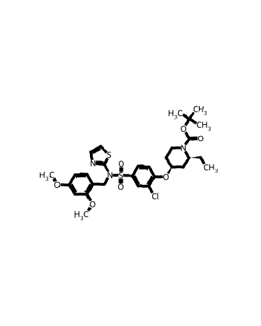 CC[C@H]1C[C@@H](Oc2ccc(S(=O)(=O)N(Cc3ccc(OC)cc3OC)c3nccs3)cc2Cl)CCN1C(=O)OC(C)(C)C